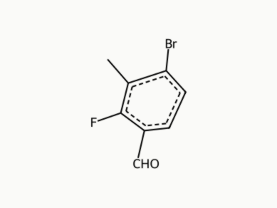 Cc1c(Br)ccc(C=O)c1F